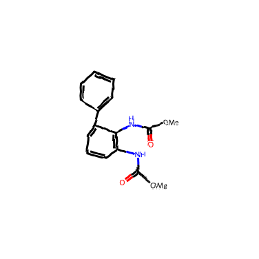 COC(=O)Nc1cccc(-c2ccccc2)c1NC(=O)OC